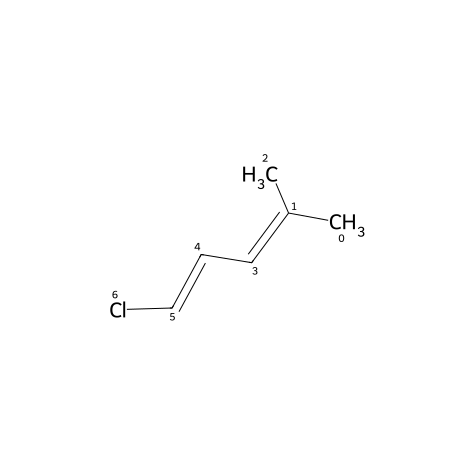 CC(C)=CC=CCl